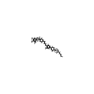 CCCCCC1COC(C2CCC(c3ccc(CC/C=C/C4CCC(C(F)(F)Oc5cc(F)c(F)c(F)c5)CC4)c(F)c3)CC2)OC1